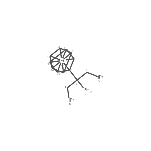 CC(C)CC(P)(CC(C)C)[C]12[CH]3[CH]4[CH]5[CH]1[Fe]45321678[CH]2[CH]1[CH]6[CH]7[CH]28